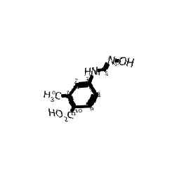 Cc1cc(NC=NO)ccc1C(=O)O